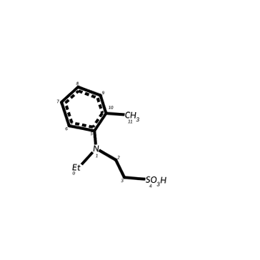 CCN(CCS(=O)(=O)O)c1ccccc1C